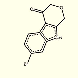 O=C1COCc2[nH]c3cc(Br)ccc3c21